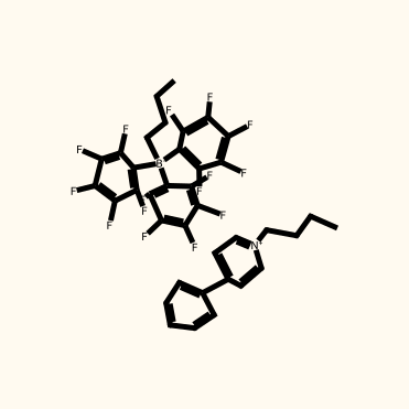 CCCC[B-](c1c(F)c(F)c(F)c(F)c1F)(c1c(F)c(F)c(F)c(F)c1F)c1c(F)c(F)c(F)c(F)c1F.CCCC[n+]1ccc(-c2ccccc2)cc1